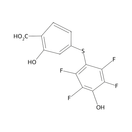 O=C(O)c1ccc(Sc2c(F)c(F)c(O)c(F)c2F)cc1O